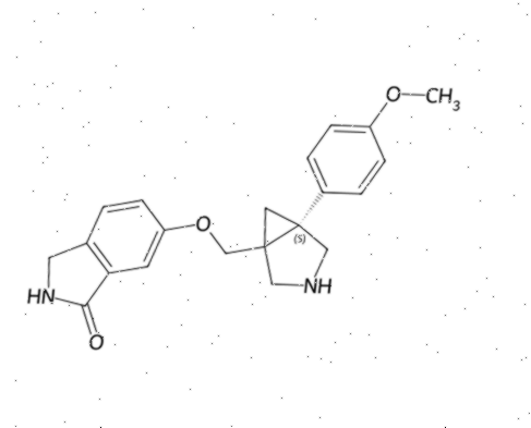 COc1ccc([C@]23CNCC2(COc2ccc4c(c2)C(=O)NC4)C3)cc1